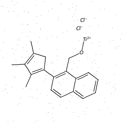 CC1=C(C)C(C)=C(c2ccc3ccccc3c2C[O][Ti+2])C1.[Cl-].[Cl-]